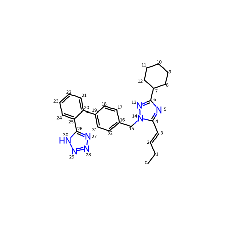 CCC=Cc1nc(C2CCCCC2)nn1Cc1ccc(-c2ccccc2-c2nnn[nH]2)cc1